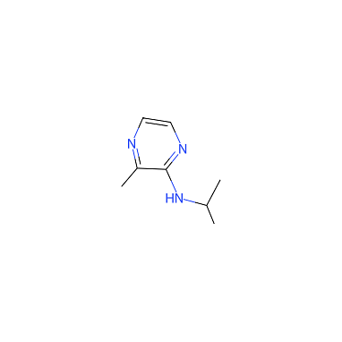 Cc1nccnc1NC(C)C